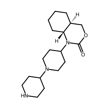 O=C1OC[C@@H]2CCCC[C@H]2N1C1CCN(C2CCNCC2)CC1